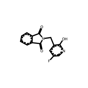 O=C1c2ccccc2C(=O)N1Cc1cc(F)cnc1O